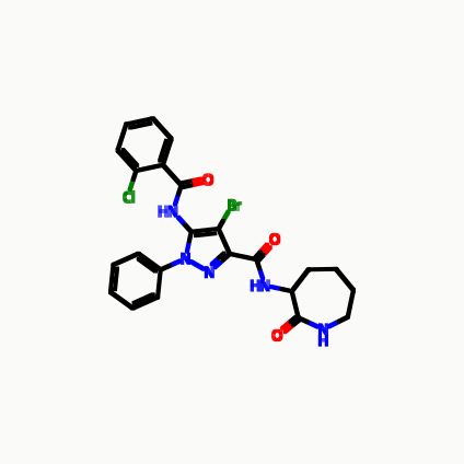 O=C(Nc1c(Br)c(C(=O)NC2CCCCNC2=O)nn1-c1ccccc1)c1ccccc1Cl